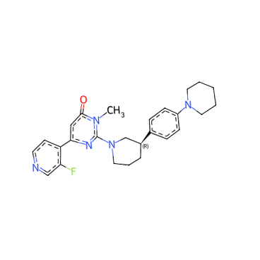 Cn1c(N2CCC[C@H](c3ccc(N4CCCCC4)cc3)C2)nc(-c2ccncc2F)cc1=O